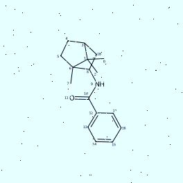 CC1(C)C2CCC1(C)C(NC(=O)c1ccccc1)C2